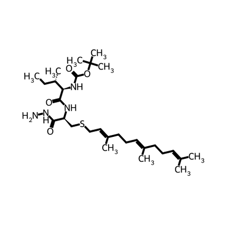 CC[C@H](C)[C@@H](NC(=O)OC(C)(C)C)C(=O)N[C@@H](CSC/C=C(\C)CC/C=C(\C)CCC=C(C)C)C(=O)NN